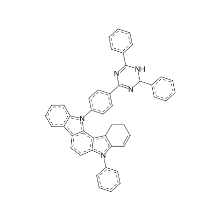 C1=Cc2c(c3c(ccc4c5ccccc5n(-c5ccc(C6=NC(c7ccccc7)NC(c7ccccc7)=N6)cc5)c43)n2-c2ccccc2)CC1